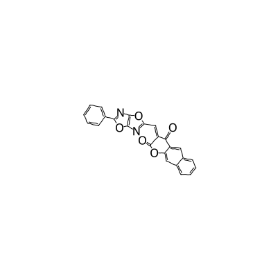 O=C1Oc2cc3ccccc3cc2C(=O)/C1=C/c1nc2oc(-c3ccccc3)nc2o1